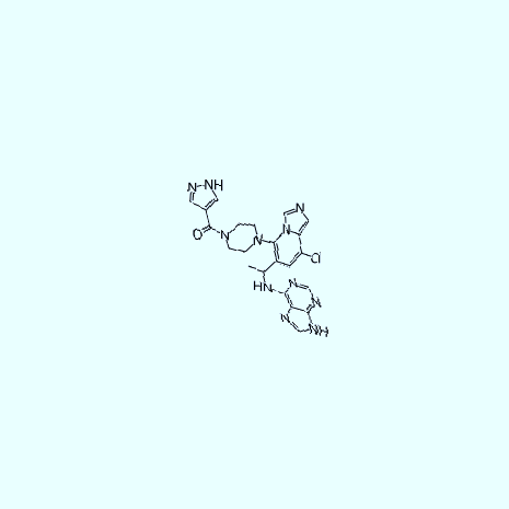 CC(Nc1ncnc2[nH]cnc12)c1cc(Cl)c2cncn2c1N1CCN(C(=O)c2cn[nH]c2)CC1